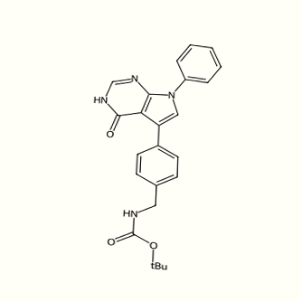 CC(C)(C)OC(=O)NCc1ccc(-c2cn(-c3ccccc3)c3nc[nH]c(=O)c23)cc1